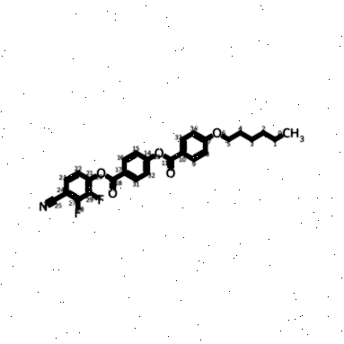 CCCCCCOc1ccc(C(=O)Oc2ccc(C(=O)Oc3ccc(C#N)c(F)c3F)cc2)cc1